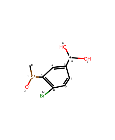 C[S+]([O-])c1cc(B(O)O)ccc1Br